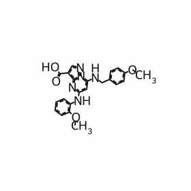 COc1ccc(CNc2cc(Nc3ccccc3OC)nc3c(C(=O)O)cnn23)cc1